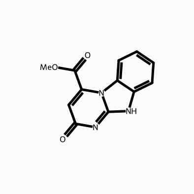 COC(=O)c1cc(=O)nc2[nH]c3ccccc3n12